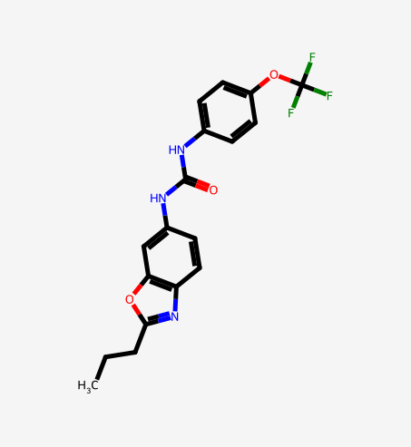 CCCc1nc2ccc(NC(=O)Nc3ccc(OC(F)(F)F)cc3)cc2o1